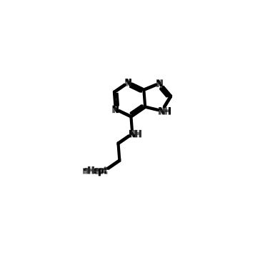 CCCCCCCCCNc1ncnc2nc[nH]c12